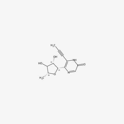 CC#Cc1[nH]c(=O)cnc1[C@@H]1O[C@H](C)C(O)[C@@H]1O